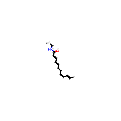 C/C=C/C=C\CC/C=C/C=C/C(=O)NCC(C)C